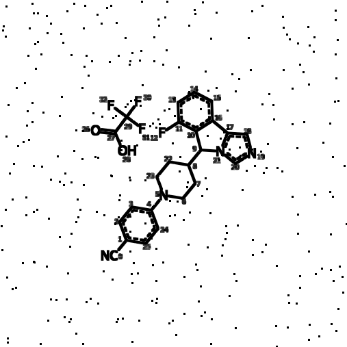 N#Cc1ccc(N2CCC(C3c4c(F)cccc4-c4cncn43)CC2)cc1.O=C(O)C(F)(F)F